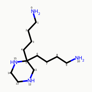 NCCCCC1(CCCCN)CNCCN1